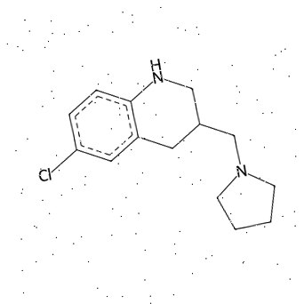 Clc1ccc2c(c1)CC(CN1CCCC1)CN2